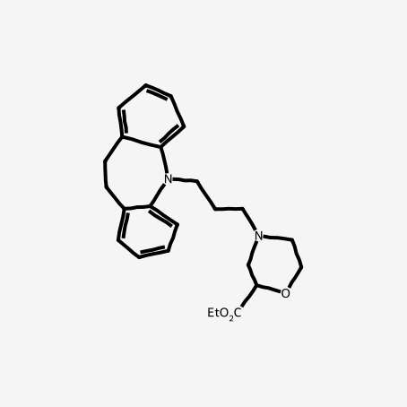 CCOC(=O)C1CN(CCCN2c3ccccc3CCc3ccccc32)CCO1